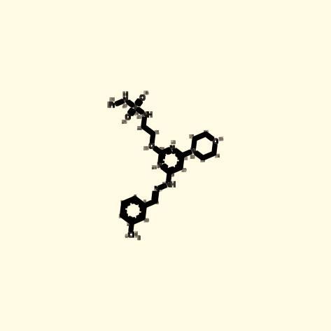 Cc1cccc(/C=N/Nc2cc(N3CCOCC3)nc(OCCNS(=O)(=O)NC(C)C)n2)c1